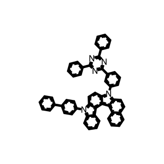 c1ccc(-c2ccc(-n3c4ccccc4c4c5c6c7ccccc7ccc6n(-c6cccc(-c7nc(-c8ccccc8)nc(-c8ccccc8)n7)c6)c5ccc43)cc2)cc1